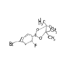 CC1(C)OB(c2ccc(Br)cc2F)OC1(C)C